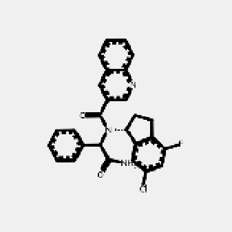 NC(=O)C(c1ccccc1)N(C(=O)c1cnc2ccccc2c1)[C@@H]1CCc2c(F)cc(Cl)cc21